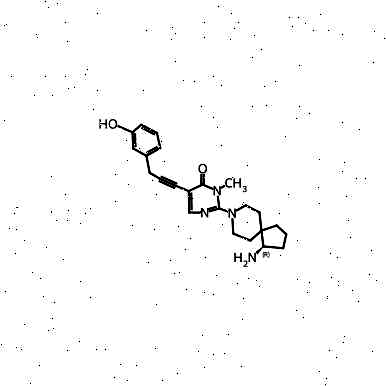 Cn1c(N2CCC3(CCC[C@H]3N)CC2)ncc(C#CCc2cccc(O)c2)c1=O